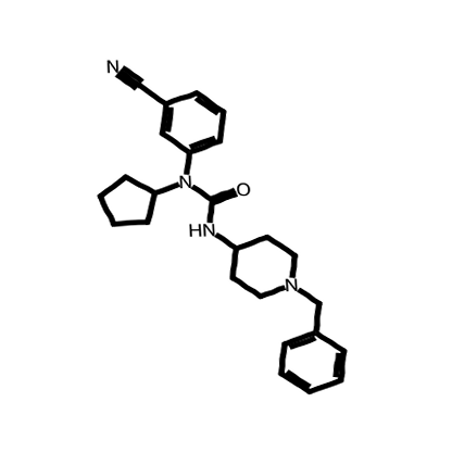 N#Cc1cccc(N(C(=O)NC2CCN(Cc3ccccc3)CC2)C2CCCC2)c1